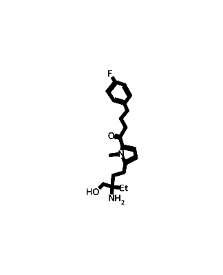 CCC(N)(CO)CCc1ccc(C(=O)CCCc2ccc(F)cc2)n1C